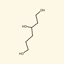 O[CH]CCC(O)CCO